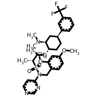 COc1ccc(CN(c2ccncn2)S(=O)(=O)[C@H](C)C(C)O[C@H]2CC[C@H](c3cccc(C(F)(F)F)c3)C[C@@H]2N(C)C)c(OC)c1